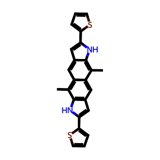 Cc1c2cc3cc(-c4cccs4)[nH]c3c(C)c2cc2cc(-c3cccs3)[nH]c12